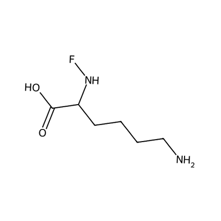 NCCCCC(NF)C(=O)O